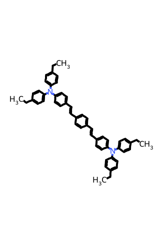 CCc1ccc(N(c2ccc(C=Cc3ccc(C=Cc4ccc(N(c5ccc(CC)cc5)c5ccc(CC)cc5)cc4)cc3)cc2)c2ccc(CC)cc2)cc1